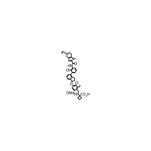 COc1cc(OC2CCc3c(-c4cccc(NC(=O)c5nc6c(n5C)CCN(C(C)C)C6)c4Cl)cccc32)c(Cl)c(F)c1CNC1(C(=O)O)CCC1